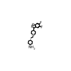 N[C@H]1CC[C@H](CCN2CCC(c3noc4cc(F)c(F)cc34)CC2)CC1